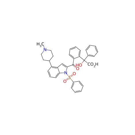 CN1CCC(c2cccc3c2cc(C(=O)c2ccccc2C(O)(C(=O)O)c2ccccc2)n3S(=O)(=O)c2ccccc2)CC1